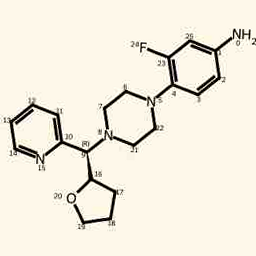 Nc1ccc(N2CCN([C@H](c3ccccn3)C3CCCO3)CC2)c(F)c1